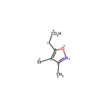 CCc1c(C)noc1CC(=O)O